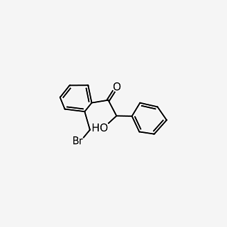 O=C(c1ccccc1CBr)C(O)c1ccccc1